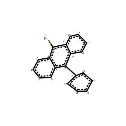 Brc1c2ccccc2c(-c2c[c]ccc2)c2ccccc12